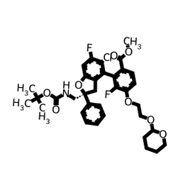 COC(=O)c1ccc(OCCOC2CCCCO2)c(F)c1-c1c(Cl)c(F)cc2c1C[C@@](CNC(=O)OC(C)(C)C)(c1ccccc1)O2